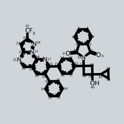 O=C1c2ccccc2C(=O)N1C1(c2ccc(-c3nc4c(cnc5cc(C(F)(F)F)nn54)cc3-c3ccccc3)cc2)CC(O)(C2CC2)C1